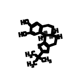 CC(C)(C)c1cc2c(s1)[C@H]1c3cc(O)c(O)cc3CC[C@@H]1NC2